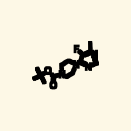 Cc1ncnc(N2CCN(C(=O)OC(C)(C)C)CC2)c1F